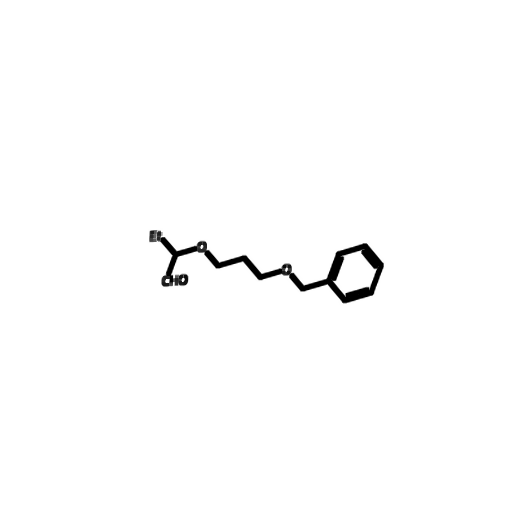 CCC(C=O)OCCCOCc1ccccc1